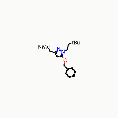 CNCc1cc(OCc2ccccc2)n(CCC(C)(C)C)n1